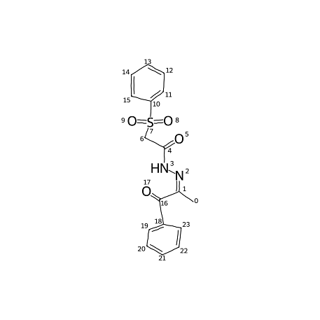 C/C(=N/NC(=O)CS(=O)(=O)c1ccccc1)C(=O)c1ccccc1